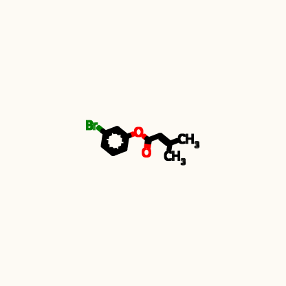 CC(C)=CC(=O)Oc1cccc(Br)c1